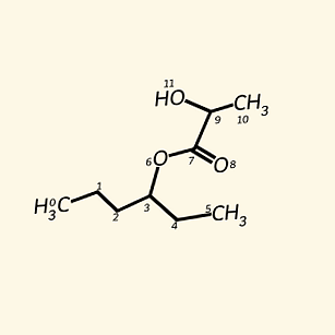 CCCC(CC)OC(=O)C(C)O